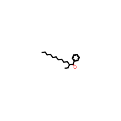 CCCCCCCCCCC(CC)C(=O)c1ccccc1